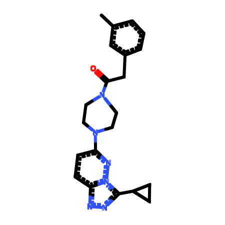 Cc1cccc(CC(=O)N2CCN(c3ccc4nnc(C5CC5)n4n3)CC2)c1